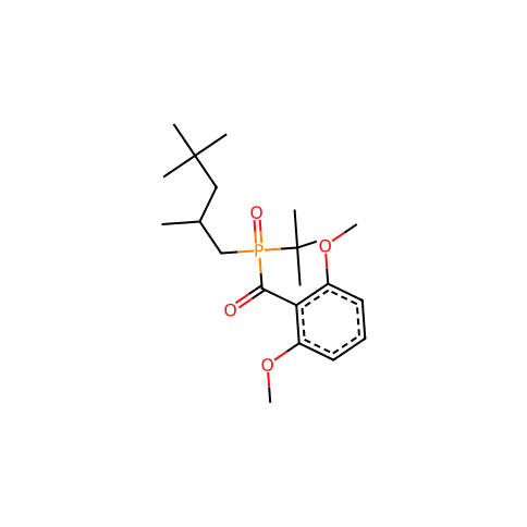 COc1cccc(OC)c1C(=O)P(=O)(CC(C)CC(C)(C)C)C(C)(C)C